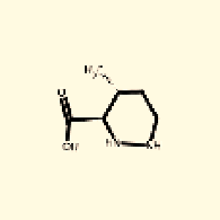 C[C@@H]1CCNN[C@H]1C(=O)O